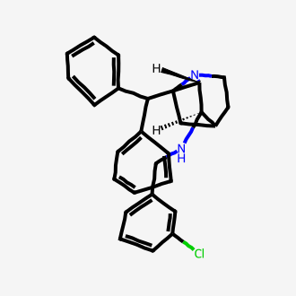 Clc1cccc(CN[C@@H]2C3CCN(CC3)[C@H]2C(c2ccccc2)c2ccccc2)c1